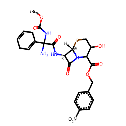 CC(C)(C)OC(=O)NC(N)(C(=O)N[C@@H]1C(=O)N2C(C(=O)OCc3ccc([N+](=O)[O-])cc3)C(O)CS[C@@H]12)C1=CCC=CC1